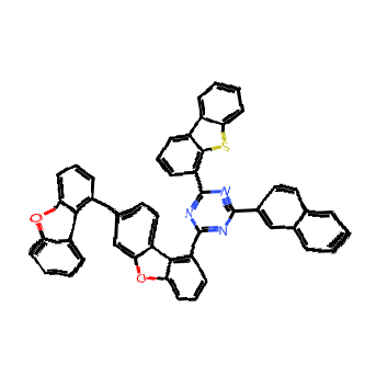 c1ccc2cc(-c3nc(-c4cccc5c4sc4ccccc45)nc(-c4cccc5oc6cc(-c7cccc8oc9ccccc9c78)ccc6c45)n3)ccc2c1